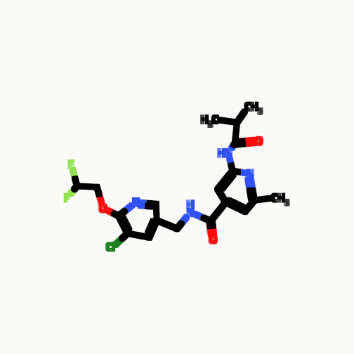 Cc1cc(C(=O)NCc2cnc(OCC(F)F)c(Cl)c2)cc(NC(=O)C(C)C)n1